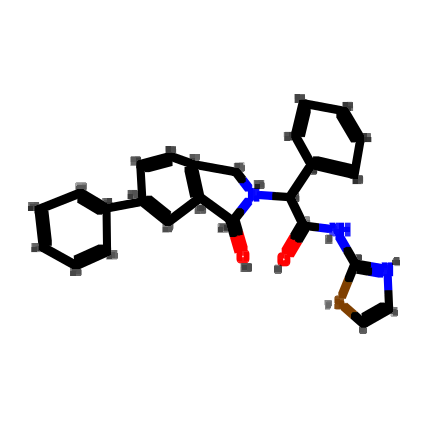 O=C(Nc1nccs1)C(c1ccccc1)N1Cc2ccc(-c3ccccc3)cc2C1=O